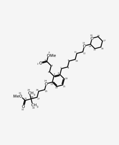 COC(=O)CCc1c(CCCCCCOC2CCCCO2)cccc1OCCCC(C)(C)C(=O)OC